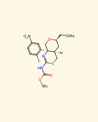 COC[C@H]1C[C@H]2CSC(NC(=O)OC(C)(C)C)=N[C@@]2(c2cc([N+](=O)[O-])ccc2F)CO1